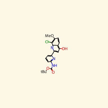 COc1ccc2c(O)cc(-c3cccc(NC(=O)OC(C)(C)C)n3)nc2c1Cl